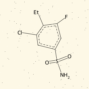 CCc1c(F)cc(S(N)(=O)=O)cc1Cl